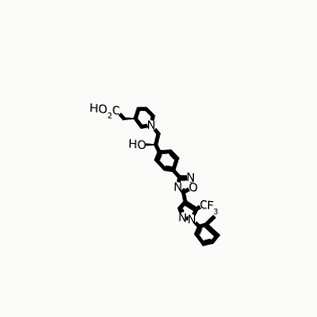 Cc1ccccc1-n1ncc(-c2nc(-c3ccc([C@@H](O)CN4CCC[C@H](CC(=O)O)C4)cc3)no2)c1C(F)(F)F